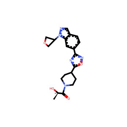 C[C@@H](O)C(=O)N1CCC(c2nc(-c3ccc4cnn(C5COC5)c4c3)no2)CC1